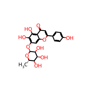 C[C@@H]1O[C@@H](Oc2cc3oc(-c4ccc(O)cc4)cc(=O)c3c(O)c2O)[C@@H](O)[C@@H](O)[C@H]1O